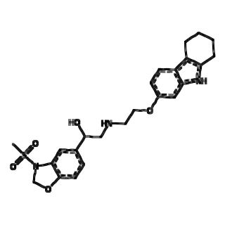 CS(=O)(=O)N1COc2ccc(C(O)CNCCOc3ccc4c5c([nH]c4c3)CCCC5)cc21